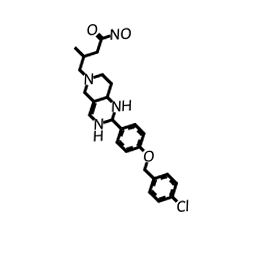 CC(CC(=O)N=O)CN1CCC2NC(c3ccc(OCc4ccc(Cl)cc4)cc3)NC=C2C1